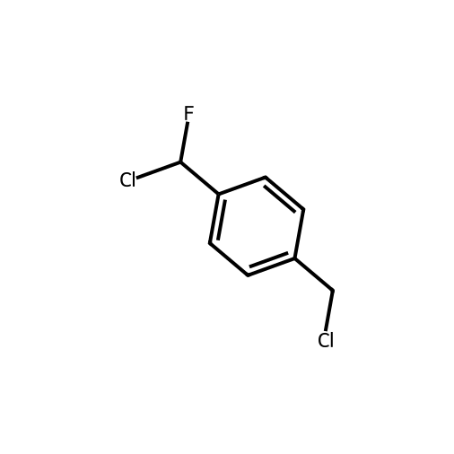 FC(Cl)c1ccc(CCl)cc1